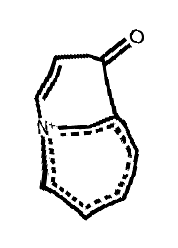 O=C1C=C[n+]2ccccc21